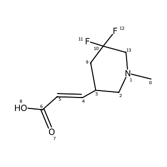 CN1CC(/C=C/C(=O)O)CC(F)(F)C1